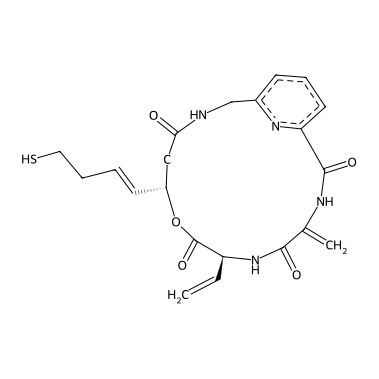 C=C[C@@H]1NC(=O)C(=C)NC(=O)c2cccc(n2)CNC(=O)C[C@@H](/C=C/CCS)OC1=O